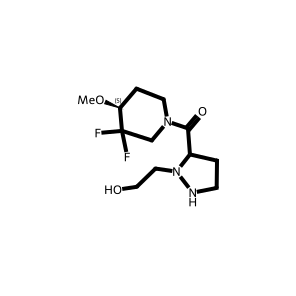 CO[C@H]1CCN(C(=O)C2CCNN2CCO)CC1(F)F